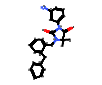 CC1(C)C(=O)N(c2cccc(N)c2)C(=O)N1Cc1ccccc1Cc1ccccc1